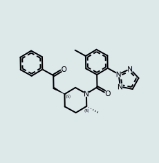 Cc1ccc(-n2nccn2)c(C(=O)N2C[C@H](CC(=O)c3ccccc3)CC[C@H]2C)c1